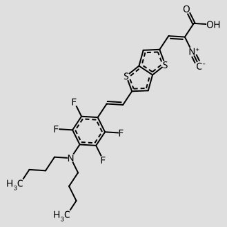 [C-]#[N+]/C(=C\c1cc2sc(/C=C/c3c(F)c(F)c(N(CCCC)CCCC)c(F)c3F)cc2s1)C(=O)O